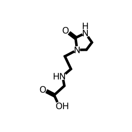 O=C(O)CNCCN1CCNC1=O